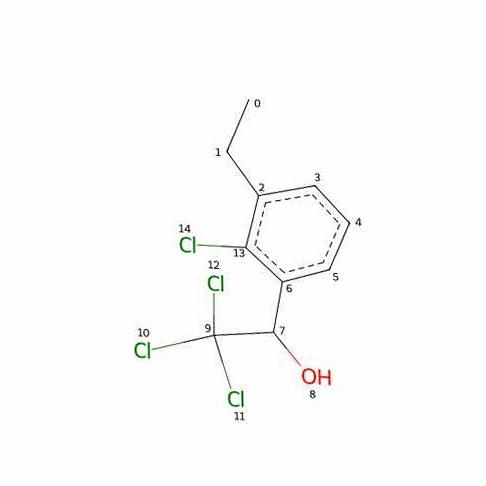 CCc1cccc(C(O)C(Cl)(Cl)Cl)c1Cl